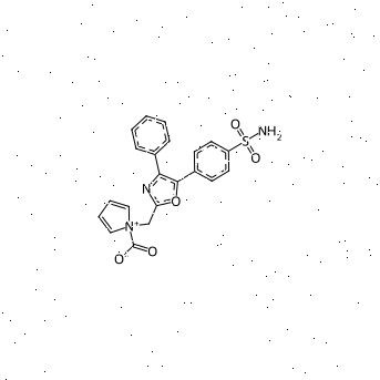 NS(=O)(=O)c1ccc(-c2oc(C[N+]3(C(=O)[O-])C=CC=C3)nc2-c2ccccc2)cc1